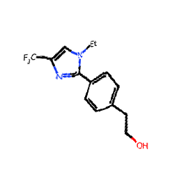 CCn1cc(C(F)(F)F)nc1-c1ccc(CCO)cc1